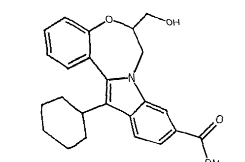 COC(=O)c1ccc2c(C3CCCCC3)c3n(c2c1)CC(CO)Oc1ccccc1-3